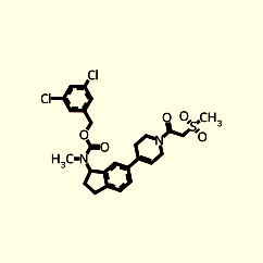 CN(C(=O)OCc1cc(Cl)cc(Cl)c1)C1CCc2ccc(C3=CCN(C(=O)CS(C)(=O)=O)CC3)cc21